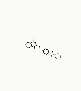 O=C(Nc1ccc(S(=O)(=O)C2COCCN2)cc1)c1c[nH]c2ccccc2c1=O